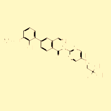 COc1cccc(-c2ccc3c(=O)n(-c4ncc(NCC(C)(C)O)cn4)ncc3c2)c1C